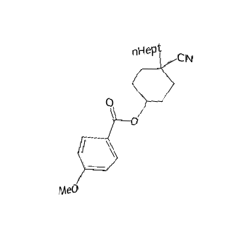 CCCCCCCC1(C#N)CCC(OC(=O)c2ccc(OC)cc2)CC1